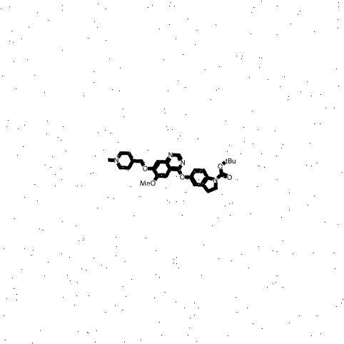 COc1cc2c(Oc3ccc4c(c3)CCN4C(=O)OC(C)(C)C)ncnc2cc1OCC1CCN(C)CC1